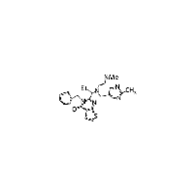 CCC(c1nc2sccc2c(=O)n1Cc1ccccc1)N(CCNC)Cc1cnc(C)nc1